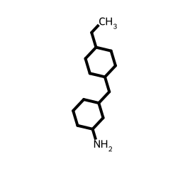 CCC1CCC(CC2CCCC(N)C2)CC1